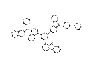 c1ccc(-c2ccc(-n3c4ccccc4c4cc(-c5cc(-c6ccc(N(c7ccccc7)c7ccc8ccccc8c7)c7ccccc67)cc(-c6cccc7c6oc6ccccc67)c5)ccc43)cc2)cc1